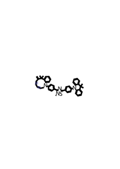 C=C1/C=C\C=C/CN(c2ccc(C3N=C(c4ccc(N5c6ccccc6C(C)(C)c6ccccc65)cc4)SN3C)cc2)c2ccccc2C1(C)C